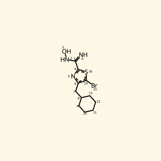 N=C(NO)c1nc(CC2CCCCC2)c(Br)s1